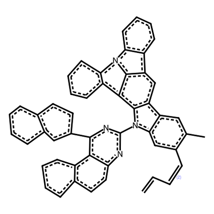 C=C/C=C\c1cc2c(cc1C)c1cc3c4ccccc4n4c5ccccc5c(c1n2-c1nc(-c2ccc5ccccc5c2)c2c(ccc5ccccc52)n1)c34